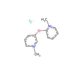 C[n+]1cccc(Oc2cccc[n+]2C)c1.[F-].[F-]